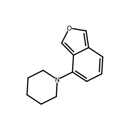 c1cc(N2CCCCC2)c2cocc2c1